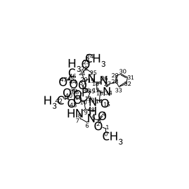 CCOC(=O)N1CCNC(C(=O)[C@]2(NC(=O)c3cc(N4CC[C@H](OC)C4)nc(-c4ccccc4)n3)CP2(=O)OC(OC(C)=O)OC(C)=O)C1